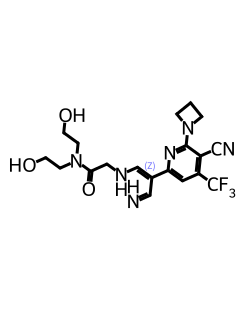 N#Cc1c(C(F)(F)F)cc(/C(C=N)=C/NCC(=O)N(CCO)CCO)nc1N1CCC1